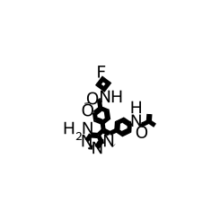 C=C(C)C(=O)Nc1ccc(-c2c(-c3ccc(C(=O)N[C@H]4C[C@@H](F)C4)c(OC)c3)c3c(N)ncnc3n2C)cc1